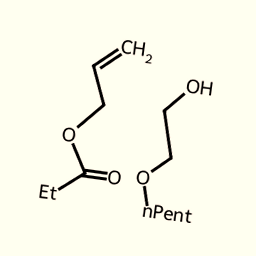 C=CCOC(=O)CC.CCCCCOCCO